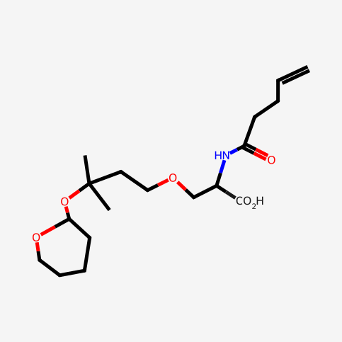 C=CCCC(=O)NC(COCCC(C)(C)OC1CCCCO1)C(=O)O